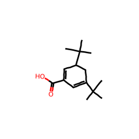 CC(C)(C)C1=CC(C(=O)O)=CC(C(C)(C)C)C1